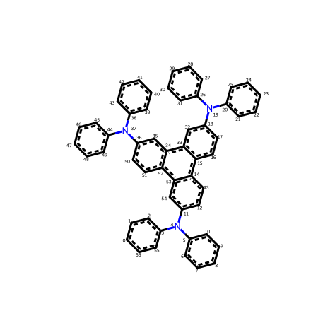 c1ccc(N(c2ccccc2)c2ccc3c4ccc(N(c5ccccc5)c5ccccc5)cc4c4cc(N(c5ccccc5)c5ccccc5)ccc4c3c2)cc1